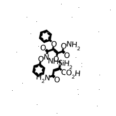 NOC(=O)C(O[SiH2]C(=CC(N)=O)C(=O)O)=C(Oc1ccccc1)C(=O)N(N)Oc1ccccc1